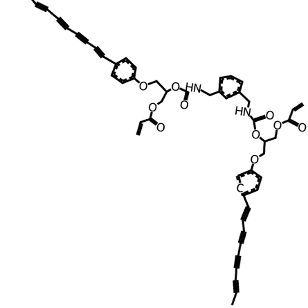 C=CC(=O)OCC(COc1ccc(C#CC#CC#CC#CC)cc1)OC(=O)NCc1cccc(CNC(=O)OC(COC(=O)C=C)COc2ccc(C#CC#CC#CC#CC)cc2)c1